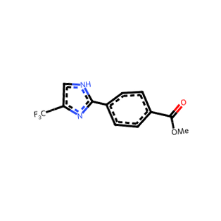 COC(=O)c1ccc(-c2nc(C(F)(F)F)c[nH]2)cc1